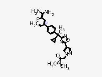 C=C/C(=C\C(F)=C(N)N)c1ccc([C@](C)(c2noc(-c3cnn(CC(=O)N(C)C)c3)n2)C2CC2)cc1